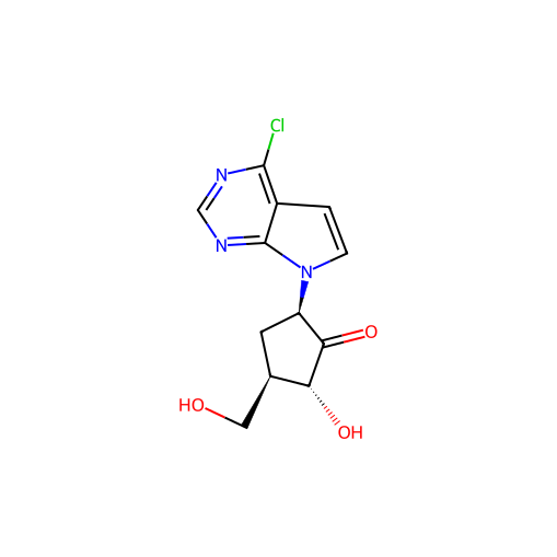 O=C1[C@H](n2ccc3c(Cl)ncnc32)C[C@H](CO)[C@H]1O